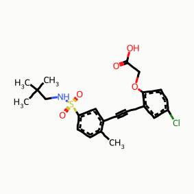 Cc1ccc(S(=O)(=O)NCC(C)(C)C)cc1C#Cc1cc(Cl)ccc1OCC(=O)O